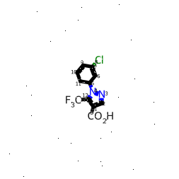 O=C(O)c1cnn(C2C=C(Cl)C=CC2)c1C(F)(F)F